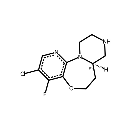 Fc1c(Cl)cnc2c1OCC[C@@H]1CNCCN21